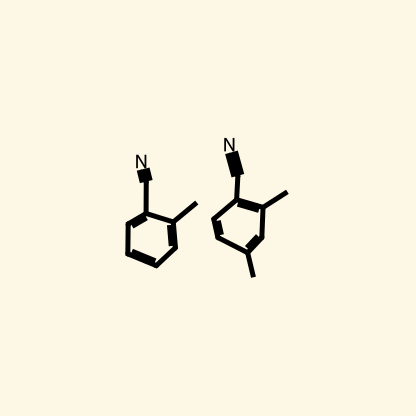 Cc1ccc(C#N)c(C)c1.Cc1ccccc1C#N